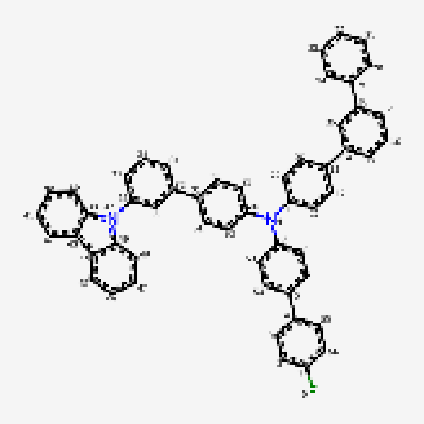 Fc1ccc(-c2ccc(N(c3ccc(-c4cccc(-c5ccccc5)c4)cc3)c3ccc(-c4cccc(-n5c6ccccc6c6ccccc65)c4)cc3)cc2)cc1